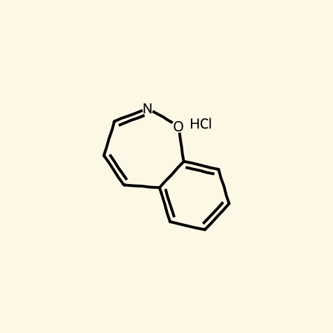 C1=Cc2ccccc2ON=C1.Cl